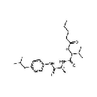 CCCCC(=O)NC(C(=O)N[C@@H](C)C(=O)Nc1ccc(CC(C)C)cc1)C(C)C